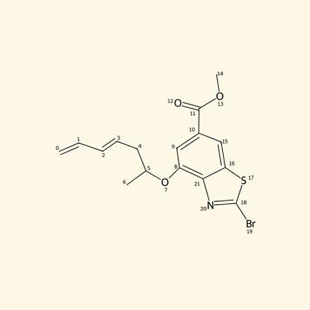 C=C/C=C/CC(C)Oc1cc(C(=O)OC)cc2sc(Br)nc12